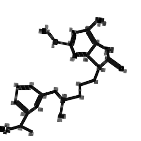 CCCCOc1nc(N)c2[nH]c(=O)n(CCCN(Cc3cccc(C(C)C(=O)O)c3)C(C)=O)c2n1